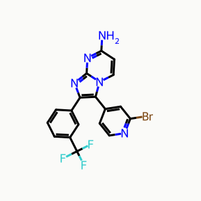 Nc1ccn2c(-c3ccnc(Br)c3)c(-c3cccc(C(F)(F)F)c3)nc2n1